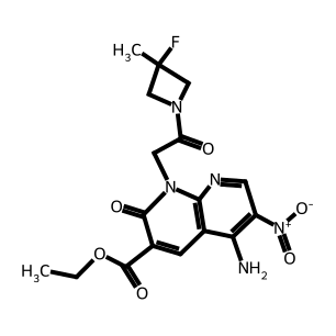 CCOC(=O)c1cc2c(N)c([N+](=O)[O-])cnc2n(CC(=O)N2CC(C)(F)C2)c1=O